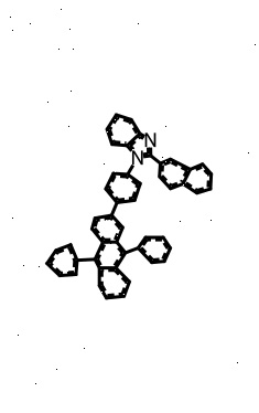 c1ccc(-c2c3ccccc3c(-c3ccccc3)c3cc(-c4ccc(-n5c(-c6ccc7ccccc7c6)nc6ccccc65)cc4)ccc23)cc1